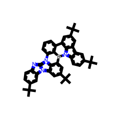 CC(C)(C)c1ccc2c(c1)c1cc(C(C)(C)C)cc3c1n2B1c2c-3cccc2-n2c3c1cc(C(C)(C)C)cc3n1c3cc(C(C)(C)C)ccc3nc21